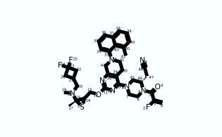 C=C(F)C(=O)N1CCN(c2nc(OCC3S[C@]3(C)N(C)CC3CC(F)(F)C3)nc3c2CCN(c2cccc4cccc(C)c24)C3)C[C@@H]1CC#N